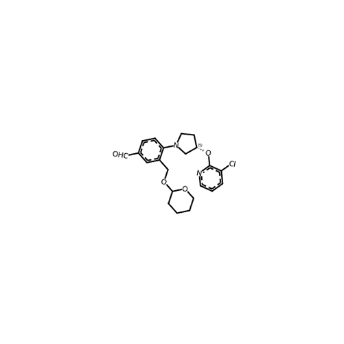 O=Cc1ccc(N2CC[C@H](Oc3ncccc3Cl)C2)c(COC2CCCCO2)c1